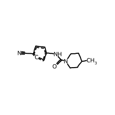 CC1CCN(C(=O)Nc2ccc(C#N)cc2)CC1